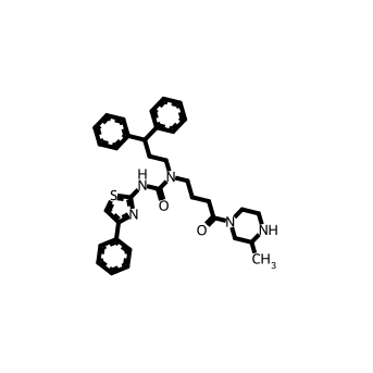 CC1CN(C(=O)CCCN(CCC(c2ccccc2)c2ccccc2)C(=O)Nc2nc(-c3ccccc3)cs2)CCN1